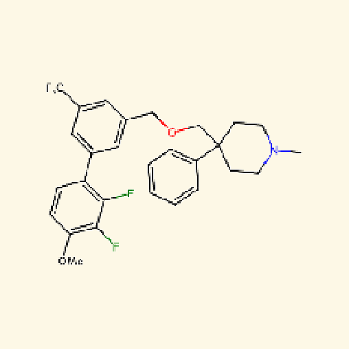 COc1ccc(-c2cc(COCC3(c4ccccc4)CCN(C)CC3)cc(C(F)(F)F)c2)c(F)c1F